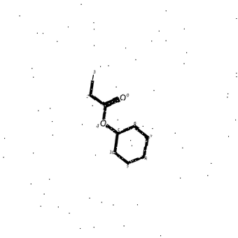 O=C(CI)O[C]1CCCCC1